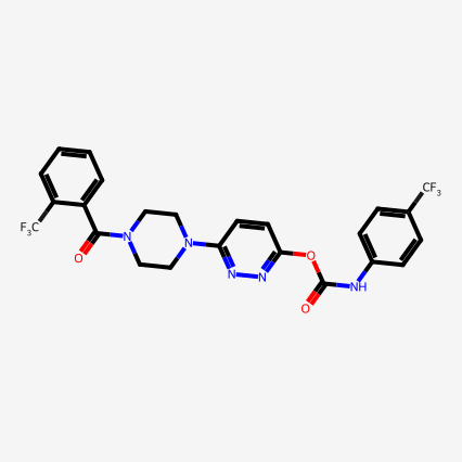 O=C(Nc1ccc(C(F)(F)F)cc1)Oc1ccc(N2CCN(C(=O)c3ccccc3C(F)(F)F)CC2)nn1